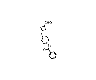 O=C[C@H]1C[C@H](OC2CCN(OC(=O)c3ccccc3)CC2)C1